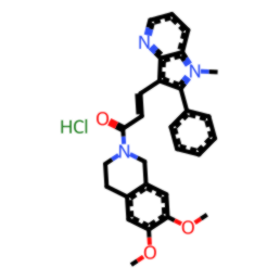 COc1cc2c(cc1OC)CN(C(=O)C=Cc1c(-c3ccccc3)n(C)c3cccnc13)CC2.Cl